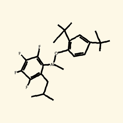 CC(C)Cc1c(F)c(F)c(F)c(F)[c]1[Al]([CH3])[O]c1ccc(C(C)(C)C)cc1C(C)(C)C